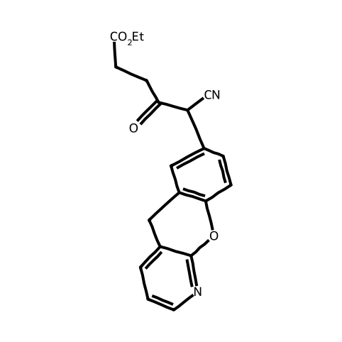 CCOC(=O)CCC(=O)C(C#N)c1ccc2c(c1)Cc1cccnc1O2